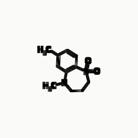 Cc1ccc2c(c1)N(C)CCCS2(=O)=O